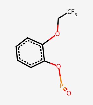 O=POc1ccccc1OCC(F)(F)F